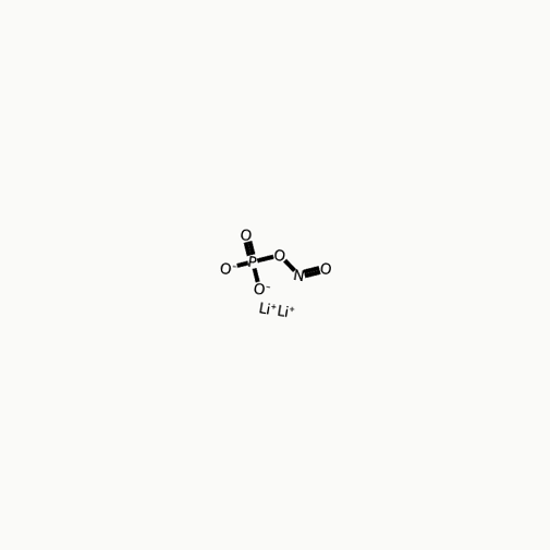 O=NOP(=O)([O-])[O-].[Li+].[Li+]